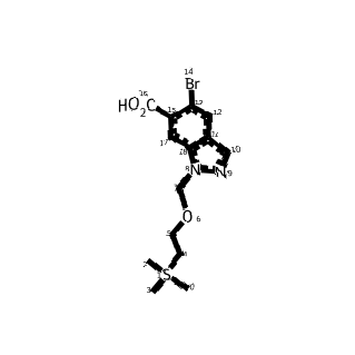 CS(C)(C)CCOCn1ncc2cc(Br)c(C(=O)O)cc21